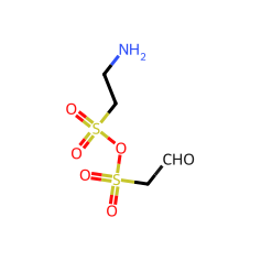 NCCS(=O)(=O)OS(=O)(=O)CC=O